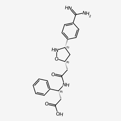 N=C(N)c1ccc([C@@H]2C[C@H](CC(=O)N[C@H](CC(=O)O)c3ccccc3)ON2)cc1